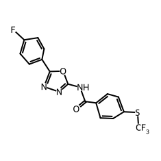 O=C(Nc1nnc(-c2ccc(F)cc2)o1)c1ccc(SC(F)(F)F)cc1